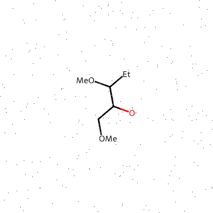 CCC(OC)C([O])COC